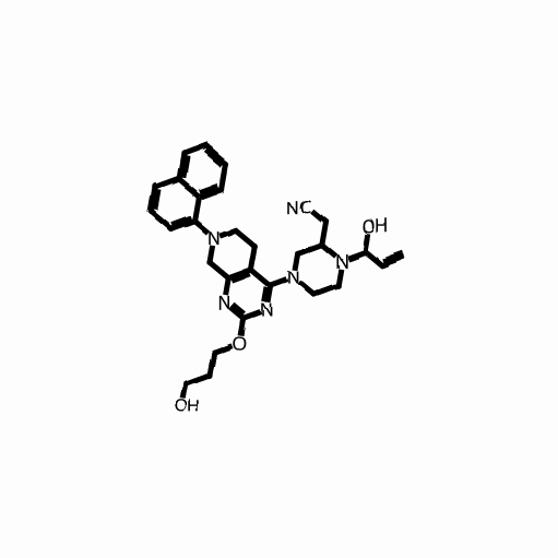 C=CC(O)N1CCN(c2nc(OCCCO)nc3c2CCN(c2cccc4ccccc24)C3)CC1CC#N